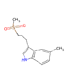 Cc1ccc2[nH]cc(CCS(C)(=O)=O)c2c1